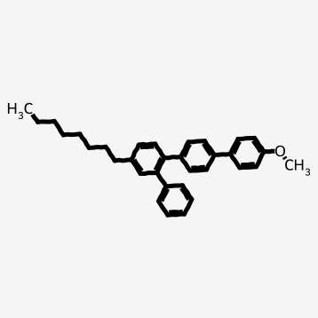 CCCCCCCCc1ccc(-c2ccc(-c3ccc(OC)cc3)cc2)c(-c2ccccc2)c1